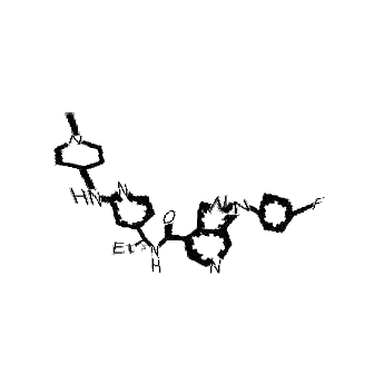 CC[C@H](NC(=O)c1cncc2c1cnn2-c1ccc(F)cc1)c1ccnc(NC2CCN(C)CC2)c1